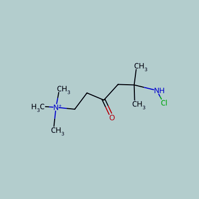 CC(C)(CC(=O)CC[N+](C)(C)C)NCl